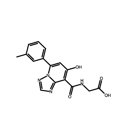 Cc1cccc(-c2cc(O)c(C(=O)NCC(=O)O)c3ncnn23)c1